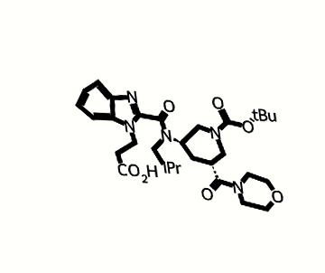 CC(C)CN(C(=O)c1nc2ccccc2n1CCC(=O)O)[C@H]1C[C@@H](C(=O)N2CCOCC2)CN(C(=O)OC(C)(C)C)C1